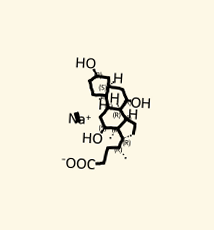 C=C.C[C@H](CCC(=O)[O-])[C@H]1CC[C@H]2[C@@H]3[C@H](O)C[C@@H]4C[C@H](O)CC[C@]4(C)[C@H]3C[C@H](O)[C@]12C.[Na+]